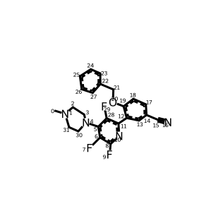 CN1CCN(c2c(F)c(F)nc(-c3cc(C#N)ccc3OCc3ccccc3)c2F)CC1